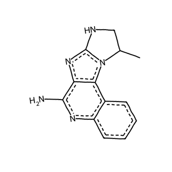 CC1CNc2nc3c(N)nc4ccccc4c3n21